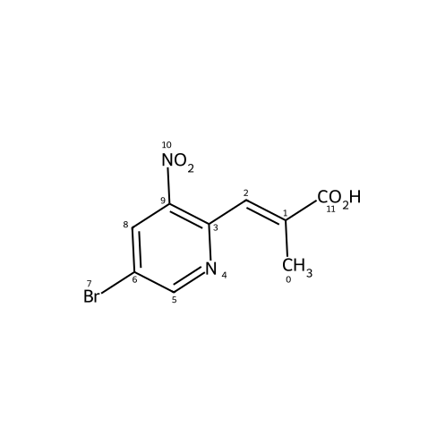 C/C(=C\c1ncc(Br)cc1[N+](=O)[O-])C(=O)O